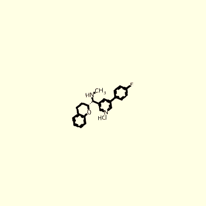 CNC(c1cncc(-c2ccc(F)cc2)c1)[C@H]1CCc2ccccc2O1.Cl